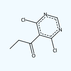 CCC(=O)c1c(Cl)ncnc1Cl